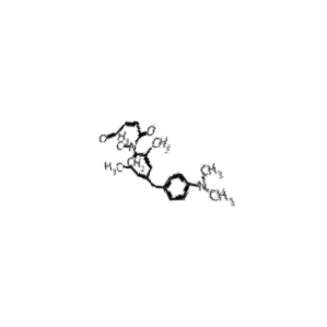 C=C(/C(C)=C\C(=C/CC)Cc1ccc(N(C)C)cc1)N(C)C(=O)/C=C\C=O